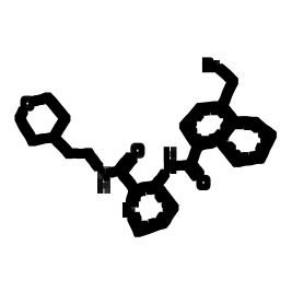 O=C(NCCC1CCOCC1)c1ncccc1NC(=O)c1ccc(CBr)c2ccccc12